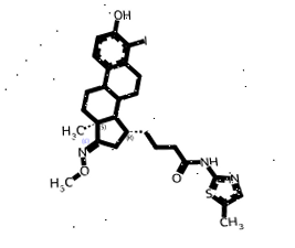 CO/N=C1\C[C@@H](CCCC(=O)Nc2ncc(C)s2)C2C3CCc4c(ccc(O)c4I)C3CC[C@]12C